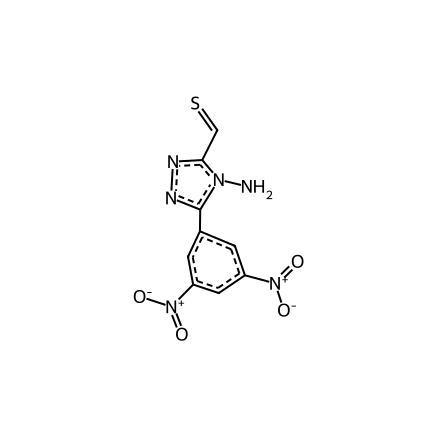 Nn1c(C=S)nnc1-c1cc([N+](=O)[O-])cc([N+](=O)[O-])c1